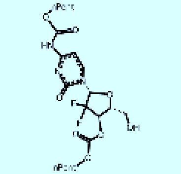 CCCCCOC(=O)Nc1ccn([C@@H]2O[C@H](CO)[C@@H](OC(=O)OCCCCC)C2(F)F)c(=O)n1